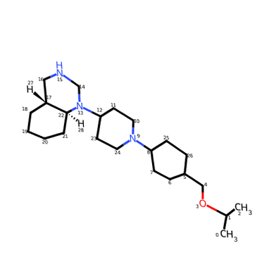 CC(C)OCC1CCC(N2CCC(N3CNC[C@H]4CCCC[C@@H]43)CC2)CC1